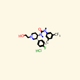 CN(C(=O)N(C)[C@@H]1CCN(CCO)C[C@H]1c1ccc(F)cc1)c1cc(C(F)(F)F)cc(C(F)(F)F)c1.Cl